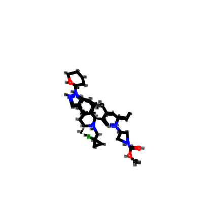 C=C(/C(=C\C(=C/C)NC1CN(C(=O)OC(C)(C)C)C1)OC)[C@@H]1c2ccc3c(cnn3C3CCCCO3)c2C[C@@H](C)N1CC1(F)CC1